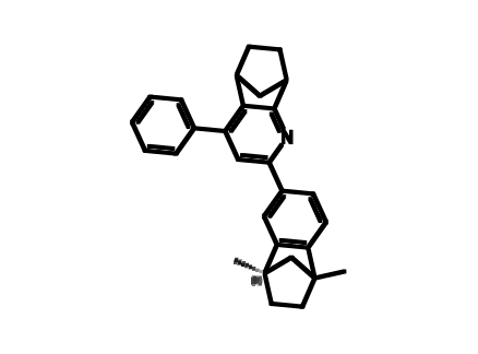 CC12CC[C@](C)(C1)c1cc(-c3cc(-c4ccccc4)c4c(n3)C3CCC4C3)ccc12